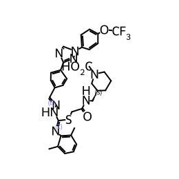 Cc1cccc(C)c1/N=C(/N/N=C/c1ccc(-c2ncn(-c3ccc(OC(F)(F)F)cc3)n2)cc1)SCC(=O)NC[C@@H]1CCCN(C(=O)O)C1